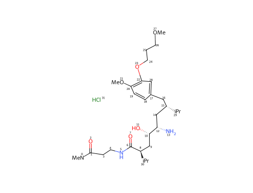 CNC(=O)CCNC(=O)[C@@H](C[C@H](O)[C@@H](N)C[C@H](Cc1ccc(OC)c(OCCCOC)c1)C(C)C)C(C)C.Cl